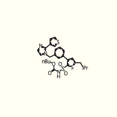 CCCCOC(=O)NS(=O)(=O)c1sc(CC(C)C)cc1-c1cccc(Cn2ccnc2-c2ccsc2)c1